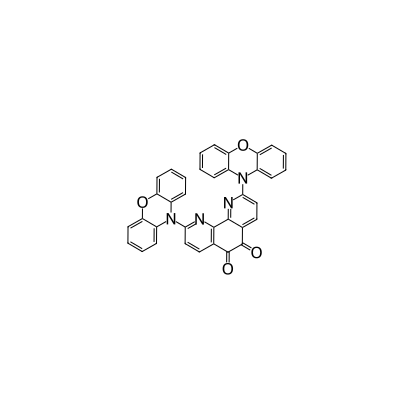 O=C1C(=O)c2ccc(N3c4ccccc4Oc4ccccc43)nc2-c2nc(N3c4ccccc4Oc4ccccc43)ccc21